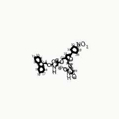 CC(C)[C@H](NC(=O)OCC1c2ccccc2-c2ccccc21)C(=O)OCc1cc(-c2ccc([N+](=O)[O-])cc2)oc1/C=N/N1CC(=O)NC1=O